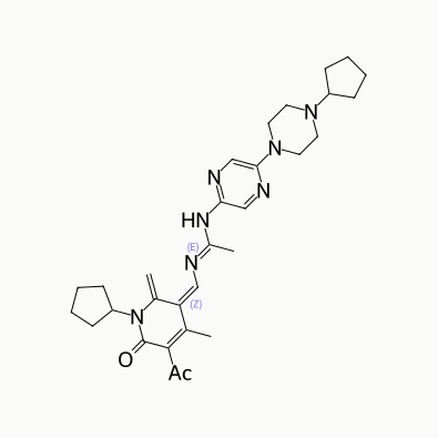 C=c1/c(=C\N=C(/C)Nc2cnc(N3CCN(C4CCCC4)CC3)cn2)c(C)c(C(C)=O)c(=O)n1C1CCCC1